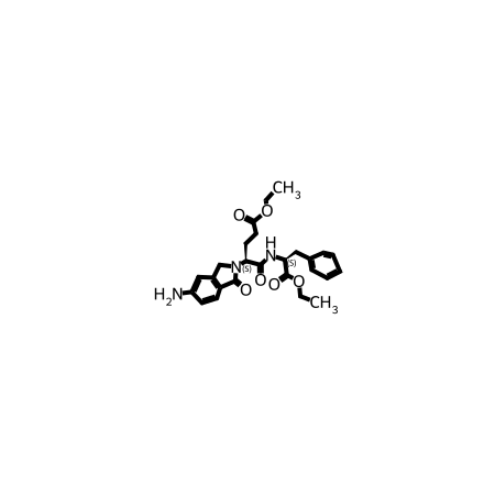 CCOC(=O)CC[C@@H](C(=O)N[C@@H](Cc1ccccc1)C(=O)OCC)N1Cc2cc(N)ccc2C1=O